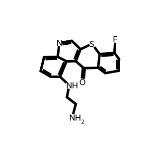 NCCNc1cccc2ncc3sc4c(F)cccc4c(=O)c3c12